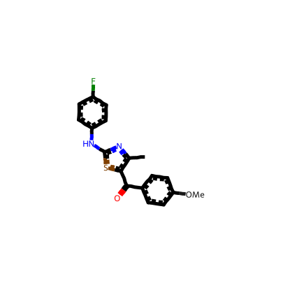 COc1ccc(C(=O)c2sc(Nc3ccc(F)cc3)nc2C)cc1